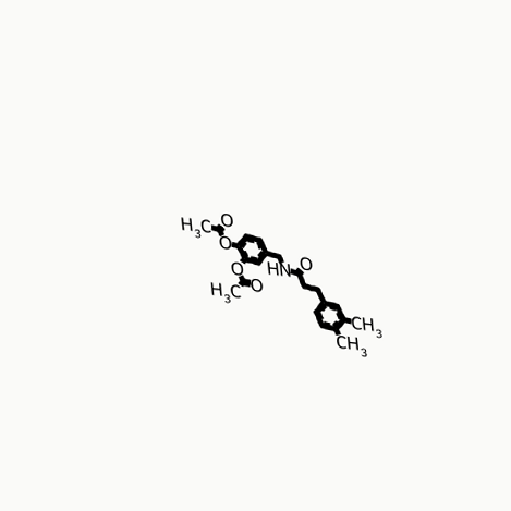 CC(=O)Oc1ccc(CNC(=O)CCc2ccc(C)c(C)c2)cc1OC(C)=O